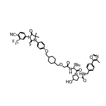 Cc1ncoc1-c1ccc(CNC(=O)[C@@H]2C[C@@H](O)CN2C(=O)[C@@H](NC(=O)COCC2CCC(COc3ccc(N4C(=S)N(c5ccc(C#N)c(C(F)(F)F)c5)C(=O)C4(C)C)cc3)CC2)C(C)(C)C)cc1